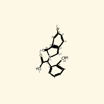 O=C(O)C(c1ccccc1O)N1Cc2ccc(Br)cc2C1=O